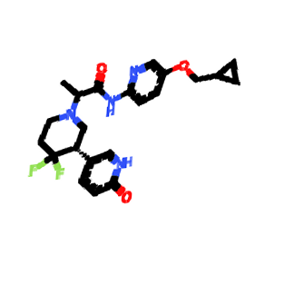 CC(C(=O)Nc1ccc(OCC2CC2)cn1)N1CCC(F)(F)[C@@H](c2ccc(=O)[nH]c2)C1